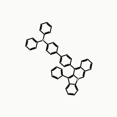 c1ccc(-c2c3ccccc3n3cc4ccccc4c(-c4ccc(-c5ccc(N(c6ccccc6)c6ccccc6)cc5)cc4)c23)cc1